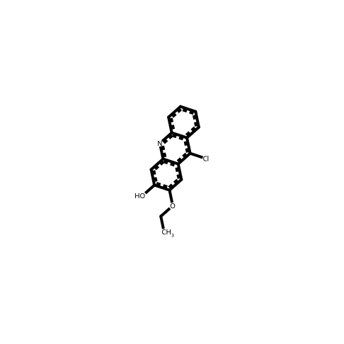 CCOc1cc2c(Cl)c3ccccc3nc2cc1O